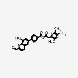 Cc1nc(C)c(CC(=O)OC(=O)c2ccc(-c3cc(O)c4nc(C=O)ccc4c3)cc2)nc1C